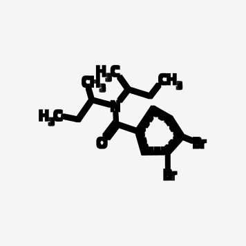 CCC(C)N(C(=O)c1ccc(Br)c(Br)c1)C(C)CC